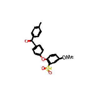 COc1ccc(Oc2ccc(C(=O)c3ccc(C)cc3)cc2)c([SH](=O)=O)c1